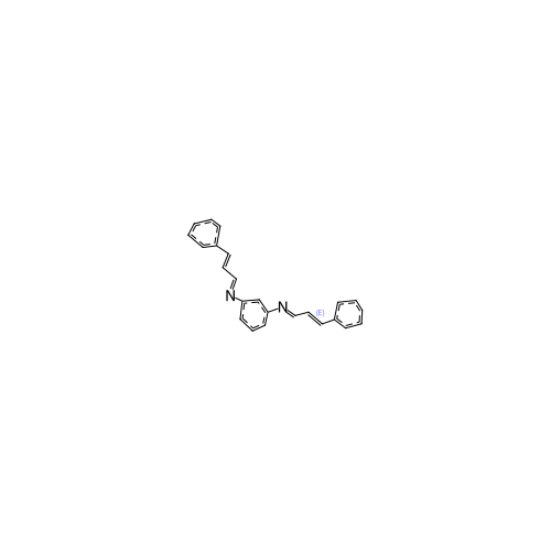 C(=Cc1ccccc1)C=Nc1cccc(N=C/C=C/c2ccccc2)c1